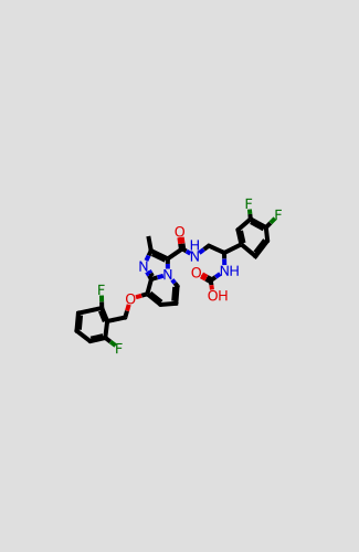 Cc1nc2c(OCc3c(F)cccc3F)cccn2c1C(=O)NCC(NC(=O)O)c1ccc(F)c(F)c1